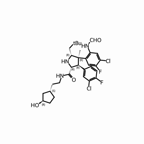 CC(C)(C)C[C@H]1N[C@@H](C(=O)NCC[C@@H]2CC[C@@H](O)C2)[C@H](c2ccc(F)c(Cl)c2)[C@]1(C)c1cc(F)c(Cl)cc1NC=O